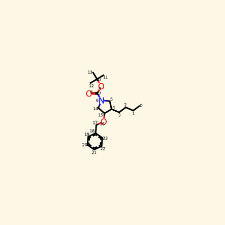 CCCCC1CN(C(=O)OC(C)(C)C)CC1OCc1ccccc1